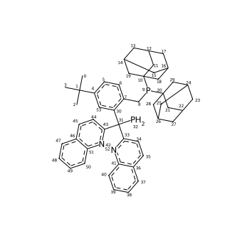 CC(C)(C)c1ccc(CP(C23CC4CC(CC(C4)C2)C3)C23CC4CC(CC(C4)C2)C3)c(C(P)(c2ccc3ccccc3n2)c2ccc3ccccc3n2)c1